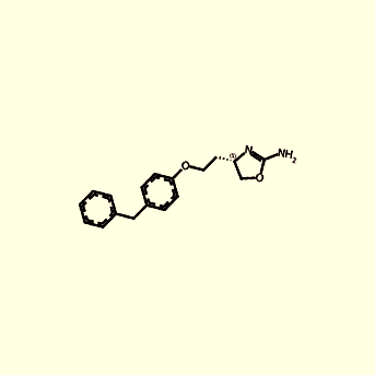 NC1=N[C@@H](CCOc2ccc(Cc3ccccc3)cc2)CO1